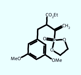 C=C(C(Cc1cc(OC)cc(OC)c1)C(=O)OCC)P1(=O)OCCO1